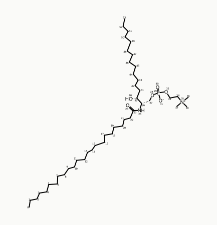 CCCCCCCCCCCCCCCCCCCCCCCC(=O)N[C@@H](COP(=O)([O-])OCC[N+](C)(C)C)[C@H](O)CCCCCCCCCCCCC